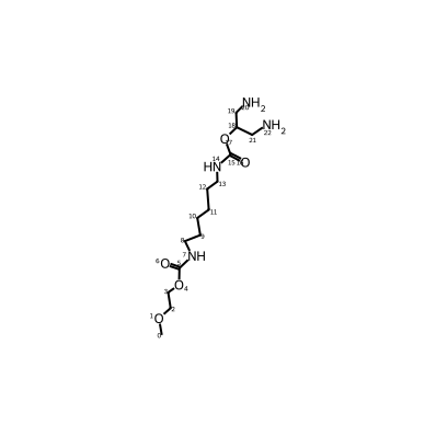 COCCOC(=O)NCCCCCCNC(=O)OC(CN)CN